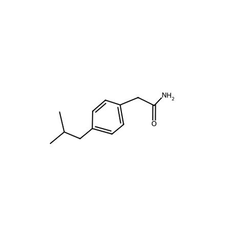 CC(C)Cc1ccc(CC(N)=O)cc1